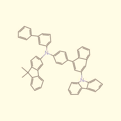 CC1(C)c2ccccc2-c2cc(N(c3ccc(-c4cc(-n5c6ccccc6c6ccccc65)cc5ccccc45)cc3)c3cccc(-c4ccccc4)c3)ccc21